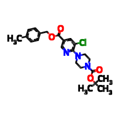 Cc1ccc(COC(=O)c2cnc(N3CCN(C(=O)OC(C)(C)C)CC3)c(Cl)c2)cc1